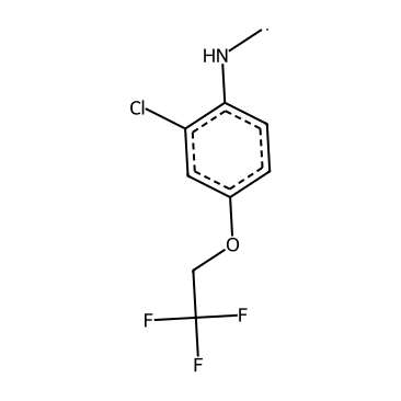 [CH2]Nc1ccc(OCC(F)(F)F)cc1Cl